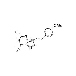 COc1ccc(CCn2cnc3c(N)nc(Cl)nc32)cc1